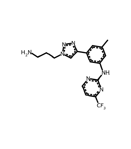 Cc1cc(Nc2nccc(C(F)(F)F)n2)cc(-c2cn(CCCN)nn2)c1